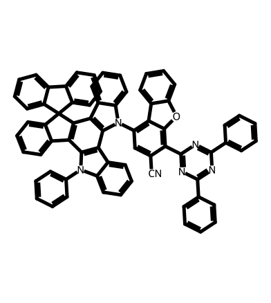 N#Cc1cc(-n2c3ccccc3c3c4c(c5c(c6ccccc6n5-c5ccccc5)c32)-c2ccccc2C42c3ccccc3-c3ccccc32)c2c(oc3ccccc32)c1-c1nc(-c2ccccc2)nc(-c2ccccc2)n1